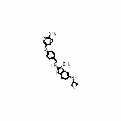 Cn1c(NCc2ccc(Oc3cnc(N)nc3)cc2)nc2ccc(NC3COC3)cc21